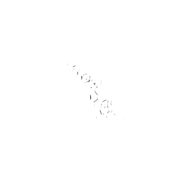 Cc1ccc(S(=O)(=O)NC23CCC(C(C)(C)OC(=O)C(F)(F)F)(CC2)OC3)cc1-c1cnc2c(N)nc(C(F)(F)F)cn12